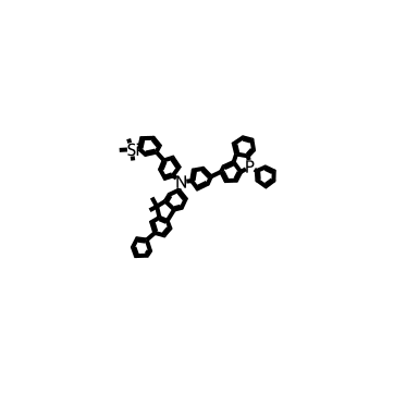 CC1(C)c2cc(-c3ccccc3)ccc2-c2ccc(N(c3ccc(-c4cccc([Si](C)(C)C)c4)cc3)c3ccc(-c4ccc5c(c4)c4ccccc4p5-c4ccccc4)cc3)cc21